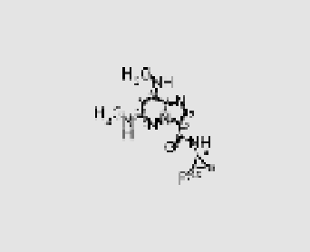 CNc1cc(NC)c2ncc(C(=O)NC3CC3F)n2n1